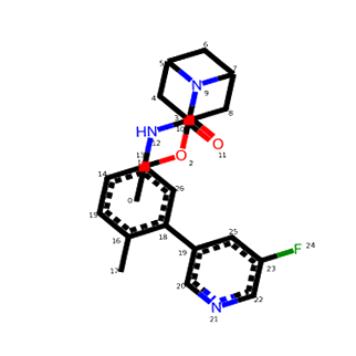 CCOC1CC2CC(C1)N2C(=O)Nc1ccc(C)c(-c2cncc(F)c2)c1